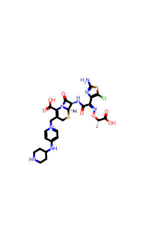 C[C@H](O/N=C(\C(=O)N[C@@H]1C(=O)N2C(C(=O)O)=C(C[n+]3ccc(NC4CCNCC4)cc3)CS[C@H]12)c1nc(N)sc1Cl)C(=O)O